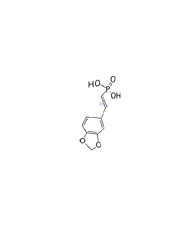 O=P(O)(O)/C=C/c1ccc2c(c1)OCO2